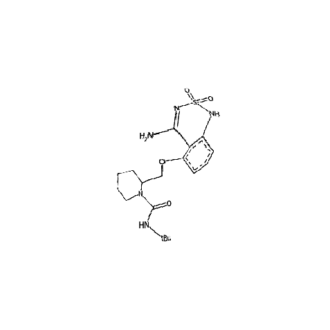 CC(C)(C)NC(=O)N1CCCCC1COc1cccc2c1C(N)=NS(=O)(=O)N2